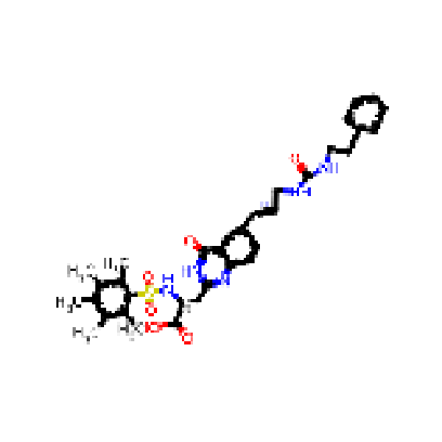 Cc1c(C)c(C)c(S(=O)(=O)N[C@@H](Cc2nc3ccc(/C=C/CNC(=O)NCCc4ccccc4)cc3c(=O)[nH]2)C(=O)O)c(C)c1C